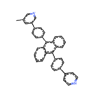 Cc1cncc(-c2ccc(-c3c4ccccc4c(-c4ccc(-c5ccncc5)cc4)c4ccccc34)cc2)c1